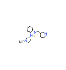 N#CN1CCC(N2SN(Cc3cccnc3)c3ccccc32)C1